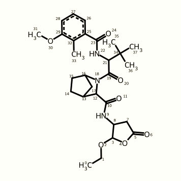 CCOC1OC(=O)CC1NC(=O)C1C2CCC(C2)N1C(=O)C(NC(=O)c1cccc(OC)c1C)C(C)(C)C